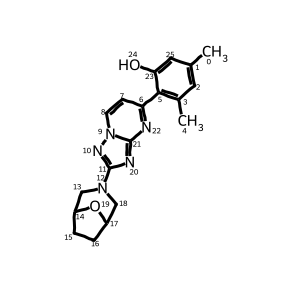 Cc1cc(C)c(-c2ccn3nc(N4CC5CCC(C4)O5)nc3n2)c(O)c1